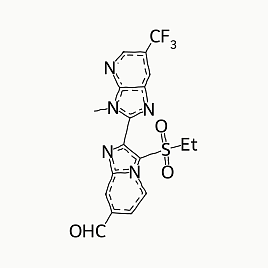 CCS(=O)(=O)c1c(-c2nc3cc(C(F)(F)F)cnc3n2C)nc2cc(C=O)ccn12